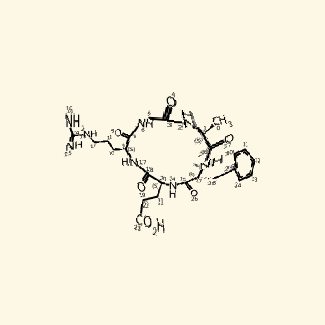 C[C@@H]1NC(=O)CNC(=O)[C@H](CCCNC(=N)N)NC(=O)[C@H](CCC(=O)O)NC(=O)[C@@H](Cc2ccccc2)NC1=O